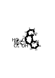 [OH][Mo]([OH])([Cl])[Cl].c1cnc2c(c1)ccc1cccnc12